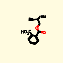 C#CC(CCCC)COC(=O)c1ccccc1C(=O)O